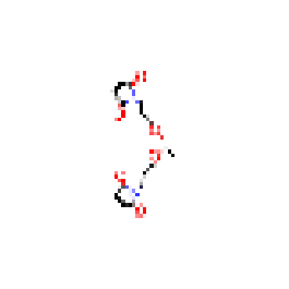 CC(COCCCN1C(=O)C=CC1=O)OCCCN1C(=O)C=CC1=O